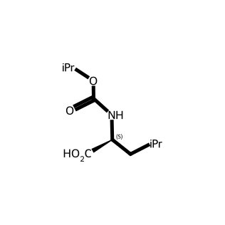 CC(C)C[C@H](NC(=O)OC(C)C)C(=O)O